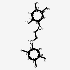 Cc1cc(C)c(OCCOc2cc(C)c(C)cc2C)cc1C